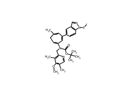 COc1c(C)cnc(CN(C(=O)OC(C)(C)C)C2=CCC(C)=CC(c3ccc4c(cnn4SI)c3)=C2)c1C